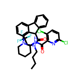 CCCCN(CC(F)(F)F)C(=O)C1c2ccccc2-c2cccc(N3CCCCC3NC(=O)c3nc(Cl)ccc3Cl)c21